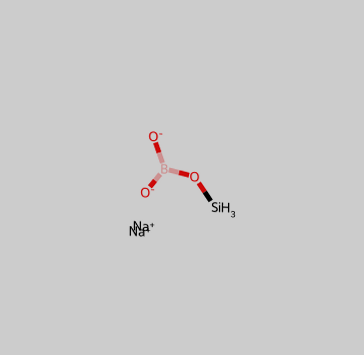 [Na+].[Na+].[O-]B([O-])O[SiH3]